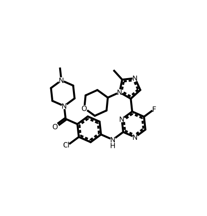 Cc1ncc(-c2nc(Nc3ccc(C(=O)N4CCN(C)CC4)c(Cl)c3)ncc2F)n1C1CCOCC1